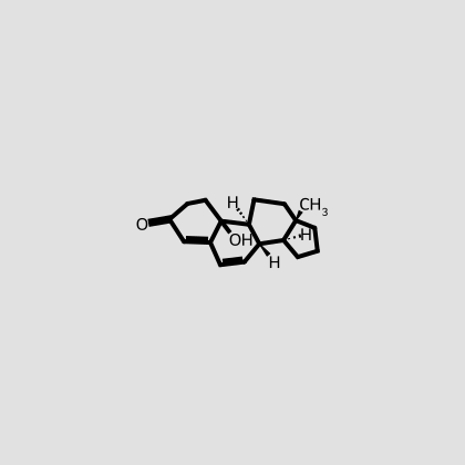 C[C@@]12CCC[C@H]1[C@@H]1C=CC3=CC(=O)CCC3(O)[C@H]1CC2